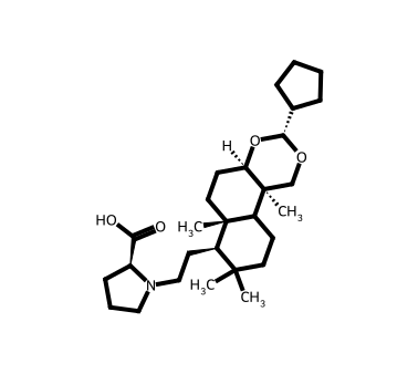 CC1(C)CCC2[C@]3(C)CO[C@@H](C4CCCC4)O[C@@H]3CC[C@@]2(C)[C@@H]1CCN1CCC[C@H]1C(=O)O